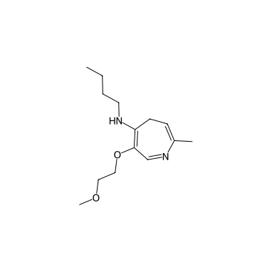 CCCCNC1=C(OCCOC)C=NC(C)=CC1